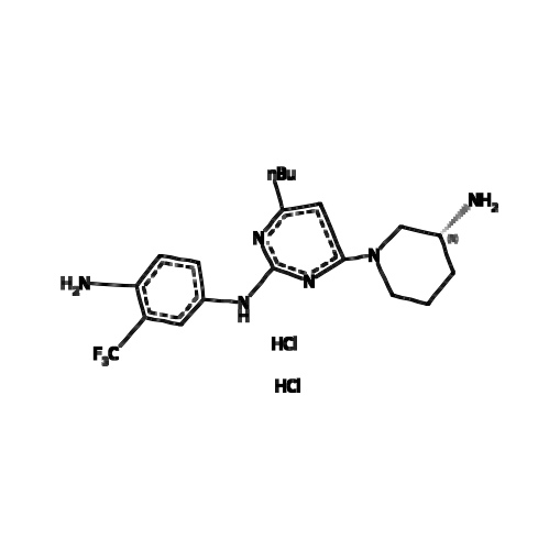 CCCCc1cc(N2CCC[C@@H](N)C2)nc(Nc2ccc(N)c(C(F)(F)F)c2)n1.Cl.Cl